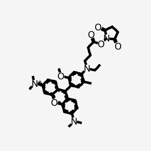 CCN(CCCC(=O)ON1C(=O)CCC1=O)c1cc(OC)c(-c2c3ccc(=[N+](C)C)cc-3oc3cc(N(C)C)ccc23)cc1C